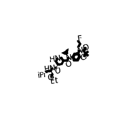 CCOC[C@@H](CC(C)C)NC(=O)[C@@H]1CNCC(C(=O)N(c2ccc3c(c2)N(CCCF)C(=O)C(C)(C)O3)C2CC2)C1